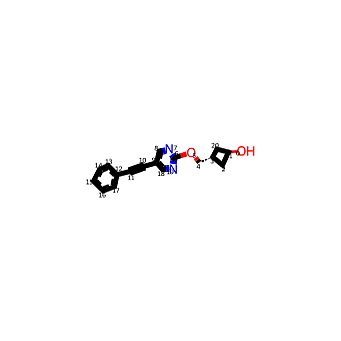 O[C@H]1C[C@H](COc2ncc(C#Cc3ccccc3)cn2)C1